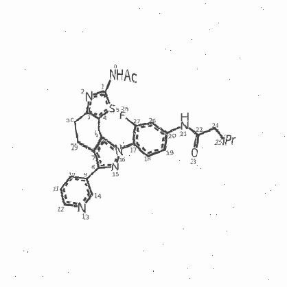 CC(=O)Nc1nc2c(s1)-c1c(c(-c3cccnc3)nn1-c1ccc(NC(=O)CC(C)C)cc1F)CC2